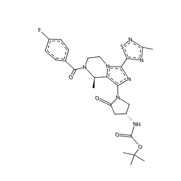 Cc1nsc(-c2nc(N3C[C@H](NC(=O)OC(C)(C)C)CC3=O)c3n2CCN(C(=O)c2ccc(F)cc2)[C@@H]3C)n1